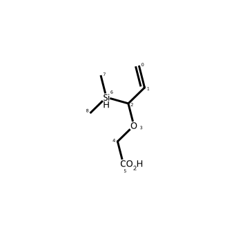 C=CC(OCC(=O)O)[SiH](C)C